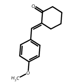 COc1ccc(C=C2CCCCC2=O)cc1